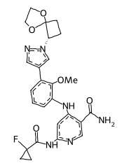 COc1c(Nc2cc(NC(=O)C3(F)CC3)ncc2C(N)=O)cccc1-c1cnn([C@H]2CCC23OCCO3)c1